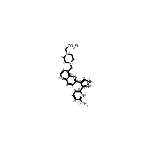 CCOC(=O)CN1CCN(Cc2ccnc3ccc(-c4c[nH]nc4-c4cccc(C)n4)nc23)CC1